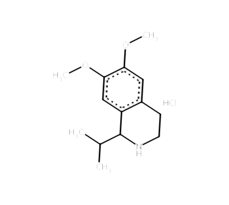 COc1cc2c(cc1OC)C(C(C)C)NCC2.Cl